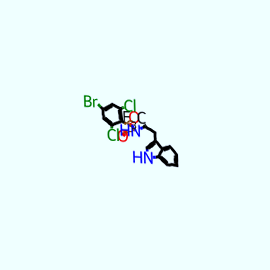 O=S(=O)(NC(Cc1c[nH]c2ccccc12)C(F)(F)F)c1c(Cl)cc(Br)cc1Cl